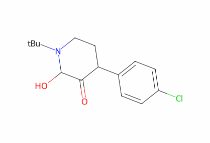 CC(C)(C)N1CCC(c2ccc(Cl)cc2)C(=O)C1O